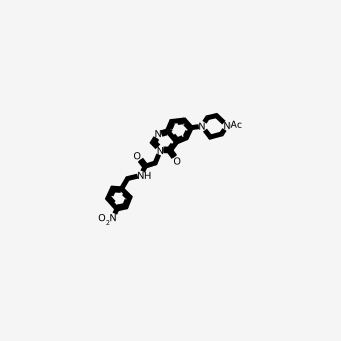 CC(=O)N1CCN(c2ccc3ncn(CC(=O)NCc4ccc([N+](=O)[O-])cc4)c(=O)c3c2)CC1